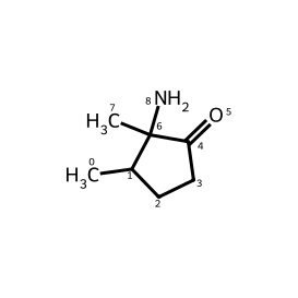 CC1CCC(=O)C1(C)N